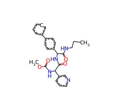 CCCNC(=O)C(NC(=O)C(NC(=O)OC)c1cccnc1)c1ccc(-c2ccccc2)cc1